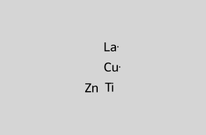 [Cu].[La].[Ti].[Zn]